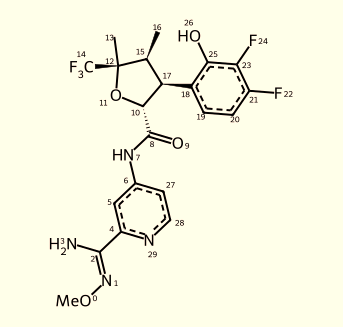 CO/N=C(\N)c1cc(NC(=O)[C@@H]2O[C@@](C)(C(F)(F)F)[C@@H](C)[C@H]2c2ccc(F)c(F)c2O)ccn1